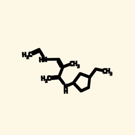 C=CN/C=C(/C)C(=C)NC1CCC(CC)C1